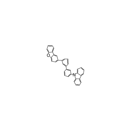 c1cc(-c2cccc(-n3c4ccccc4c4ccccc43)c2)cc(-c2ccc3oc4ccccc4c3c2)c1